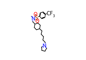 CN(CC1CCC(CCCCCN2CCCC2)CC1)S(=O)(=O)c1ccc(C(F)(F)F)cc1